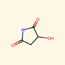 O=C1CC(O)C(=O)[N]1